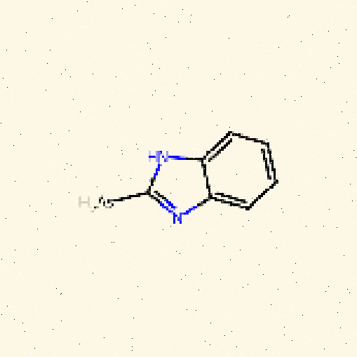 [AsH2]c1nc2ccccc2[nH]1